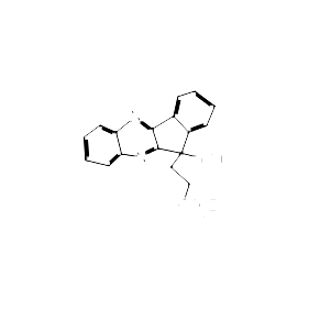 CCCCC1(CCC(=O)OCC)c2ccccc2-c2nc3ccccc3nc21